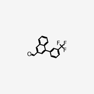 O=Cc1cc(-c2cccc(C(F)(F)F)c2)c2ccccc2c1